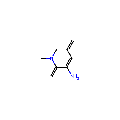 C=C/C=C(/N)C(=C)N(C)C